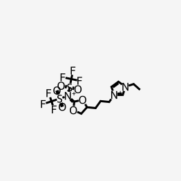 CCn1cc[n+](CCCC2COC(=[N+](S(=O)(=O)C(F)(F)F)S(=O)(=O)C(F)(F)F)O2)c1